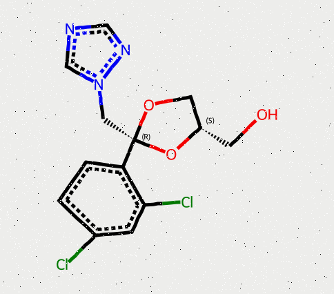 OC[C@H]1CO[C@](Cn2cncn2)(c2ccc(Cl)cc2Cl)O1